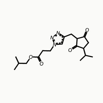 CC(C)COC(=O)CCn1cc(CC2C(=O)CC(C(C)C)C2=O)nn1